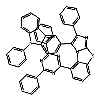 c1ccc(-c2nc(-c3ccccc3)nc(-c3cccc4sc5nc(-c6ccccc6)c(-c6ccc7c(c6)c6ccccc6n7-c6ccccc6)n5c34)n2)cc1